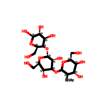 CC(=O)N[C@H]1C(O[C@@H]2[C@@H](O)[C@@H](O[C@H]3[C@H](O)[C@@H](O)[C@H](O)O[C@@H]3CO)O[C@H](CO)[C@H]2O)O[C@H](CO)[C@@H](O)[C@@H]1O